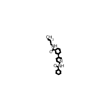 CCCCNC(=O)c1cccc(-c2ccc(NC(=O)c3ccccc3)nc2)c1